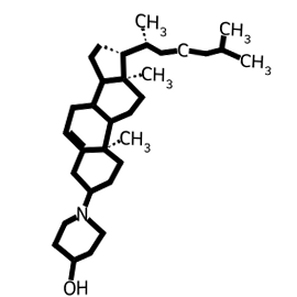 CC(C)CCC[C@@H](C)[C@H]1CCC2C3CC=C4CC(N5CCC(O)CC5)CC[C@]4(C)C3CC[C@@]21C